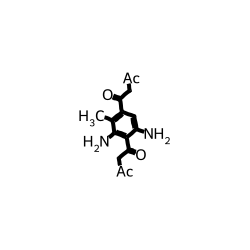 CC(=O)CC(=O)c1cc(N)c(C(=O)CC(C)=O)c(N)c1C